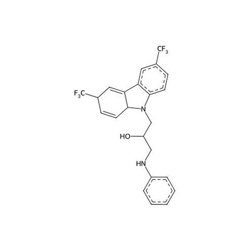 OC(CNc1ccccc1)CN1c2ccc(C(F)(F)F)cc2C2=CC(C(F)(F)F)C=CC21